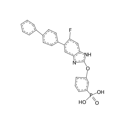 O=P(O)(O)c1cccc(Oc2nc3cc(-c4ccc(-c5ccccc5)cc4)c(F)cc3[nH]2)c1